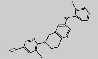 Cc1cc(C#N)nnc1N1CCc2ncc(Nc3cccnc3F)cc2C1